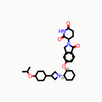 CC(C)OC1CCC(C2CN([C@H]3CCCC[C@@H]3Oc3ccc4c(c3)CN(C3CCC(=O)NC3=O)C4=O)C2)CC1